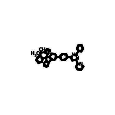 CC1(C)c2ccccc2C2(c3ccccc3-c3cc(-c4ccc(-c5cc(-c6ccccn6)nc(-c6ccccc6)n5)cc4)ccc32)c2ccccc21